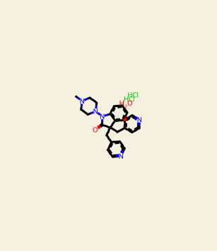 CN1CCN(N2C(=O)C(Cc3ccncc3)(Cc3ccncc3)c3ccccc32)CC1.Cl.Cl.O